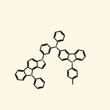 Cc1ccc(-n2c3ccccc3c3cc(N(c4ccccc4)c4cccc(-n5ccc6c5ccc5c7ccccc7n(-c7ccccc7)c56)c4)ccc32)cc1